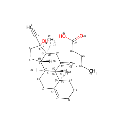 C#C[C@]1(O)CC[C@H]2[C@@H]3CCC4=CCCC[C@@H]4[C@H]3C(=C)C[C@@]21CC.CCCCC(=O)O